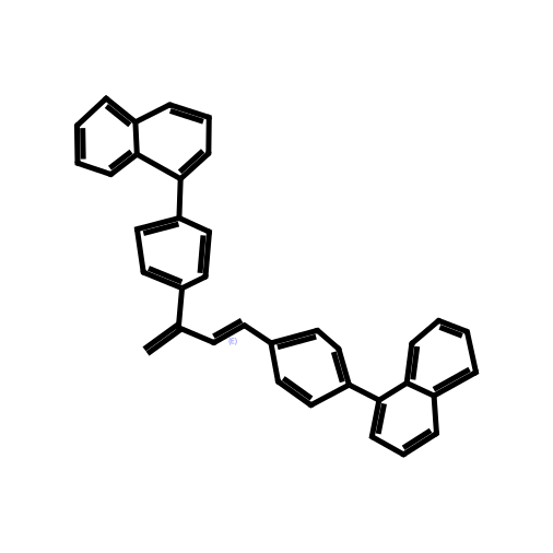 C=C(/C=C/c1ccc(-c2cccc3ccccc23)cc1)c1ccc(-c2cccc3ccccc23)cc1